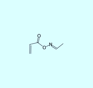 C=CC(=O)ON=CC